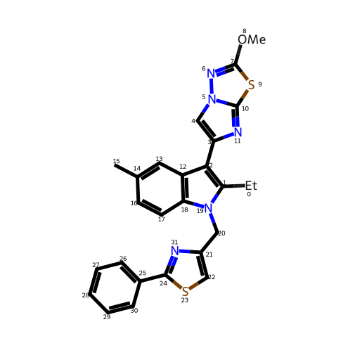 CCc1c(-c2cn3nc(OC)sc3n2)c2cc(C)ccc2n1Cc1csc(-c2ccccc2)n1